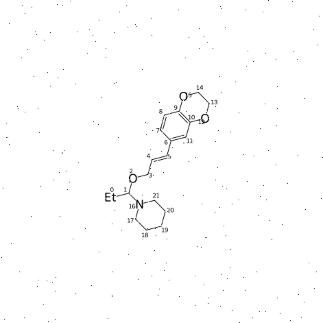 CCC(OCC=Cc1ccc2c(c1)OCCO2)N1CCCCC1